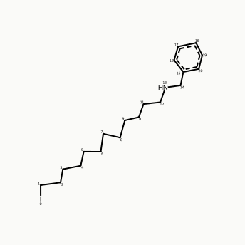 ICCCCCCCCCCCCNCc1ccccc1